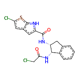 O=C(CCl)N[C@H]1c2ccccc2C[C@H]1NC(=O)c1cc2cc(Cl)sc2[nH]1